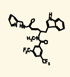 CN(C(=O)c1cc(C(F)(F)F)cc(C(F)(F)F)c1)C(C=CC(=O)NCc1ccccn1)Cc1c[nH]c2ccccc12